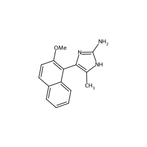 COc1ccc2ccccc2c1-c1nc(N)[nH]c1C